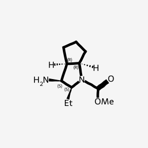 CC[C@H]1[C@@H](N)[C@H]2CCC[C@H]2N1C(=O)OC